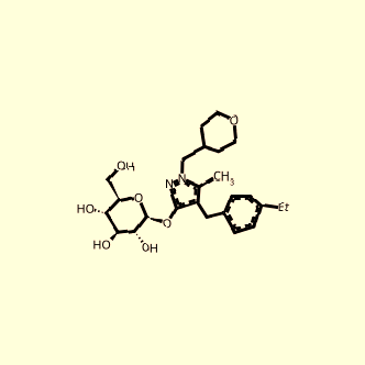 CCc1ccc(Cc2c(O[C@@H]3O[C@H](CO)[C@@H](O)[C@H](O)[C@H]3O)nn(CC3CCOCC3)c2C)cc1